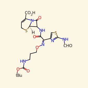 CC(C)(C)OC(=O)NCCCO/N=C(\C(=O)NC1C(=O)N2C(C(=O)O)=CCS[C@H]12)c1csc(NC=O)n1